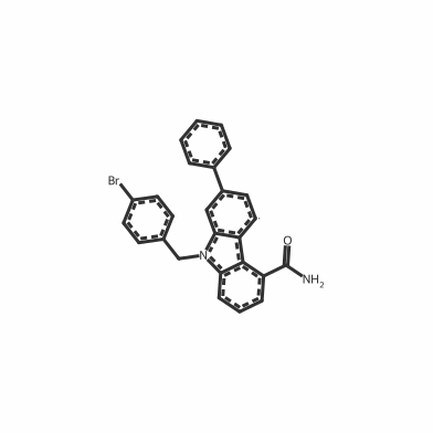 NC(=O)c1cccc2c1c1[c]cc(-c3ccccc3)cc1n2Cc1ccc(Br)cc1